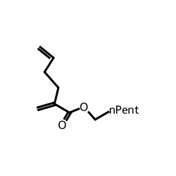 C=CCCC(=C)C(=O)OCCCCCC